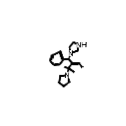 CC=C(C(c1ccccc1)N1CCNC1)C(C)(C)N1CCCC1